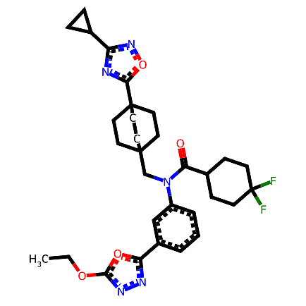 CCOc1nnc(-c2cccc(N(CC34CCC(c5nc(C6CC6)no5)(CC3)CC4)C(=O)C3CCC(F)(F)CC3)c2)o1